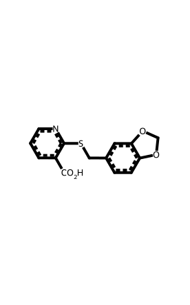 O=C(O)c1cccnc1SCc1ccc2c(c1)OCO2